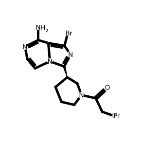 CC(C)CC(=O)N1CCC[C@@H](c2nc(Br)c3c(N)nccn23)C1